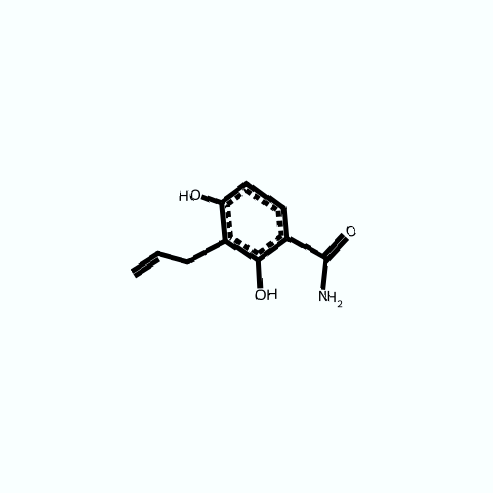 C=CCc1c(O)ccc(C(N)=O)c1O